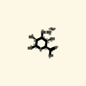 O=C(O)[C@H]1O[C@@H](O)[C@H](O)[C@@H](O)[C@@H]1O.[Na+].[OH-]